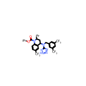 CC(C)OC(=O)N1c2ccc(C(F)(F)F)cc2C(N(Cc2cc(C(F)(F)F)cc(C(F)(F)F)c2)c2nn[nH]n2)CC1C(C)C